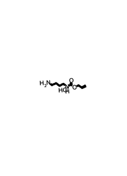 C=CCOC(=O)NCCCCN.Cl